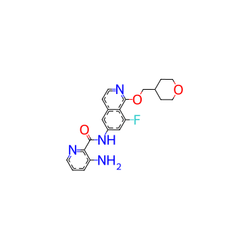 Nc1cccnc1C(=O)Nc1cc(F)c2c(OCC3CCOCC3)nccc2c1